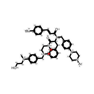 CC(=O)N1CCN(c2ccc(CN(C(=O)C=Cc3ccc(C(C)(C)C)cc3)C(Cc3ccccc3)C(=O)N3CCN(Cc4ccc(N(C)CCO)cc4)CC3)cc2)CC1